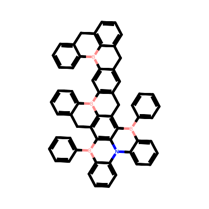 c1ccc(B2c3ccccc3N3c4ccccc4B(c4ccccc4)c4c5c6c(c2c43)Cc2ccccc2B6c2cc3c(cc2C5)Cc2cccc4c2B3c2ccccc2C4)cc1